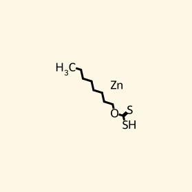 CCCCCCCCOC(=S)S.[Zn]